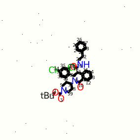 CC(C)(C)OC(=O)N1CCC(N2C(=O)c3ccccc3[C@@H](C(=O)NCCc3ccccc3)[C@@H]2c2ccc(Cl)cc2Cl)CC1